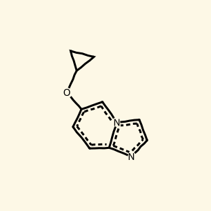 c1cn2cc(OC3CC3)ccc2n1